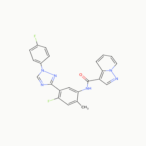 Cc1cc(F)c(-c2ncn(-c3ccc(F)cc3)n2)cc1NC(=O)c1cnn2ccccc12